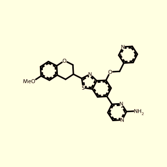 COc1ccc2c(c1)CC(c1nc3c(OCc4cccnc4)cc(-c4ccnc(N)n4)cc3s1)CO2